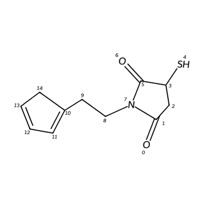 O=C1CC(S)C(=O)N1CCC1=CC=CC1